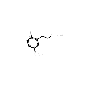 COc1ccc(I)c(CCC(=O)O)c1